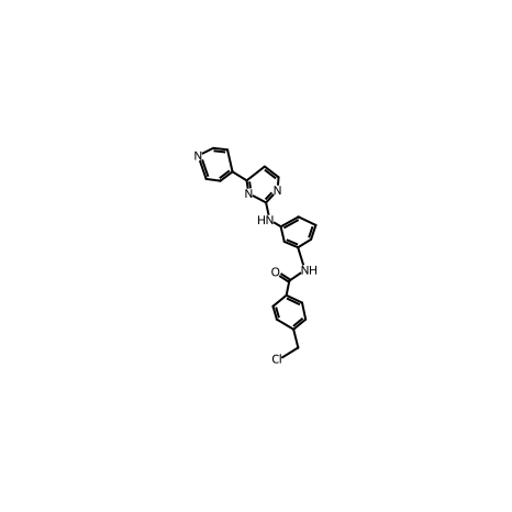 O=C(Nc1cccc(Nc2nccc(-c3ccncc3)n2)c1)c1ccc(CCl)cc1